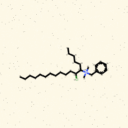 CCCCCCCCCCCC(Cl)C(CCCCC)[N+](C)(C)Cc1ccccc1